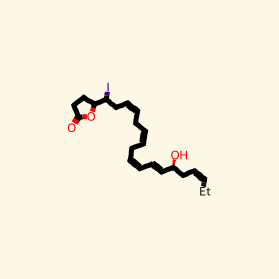 CC/C=C\C[C@H](O)/C=C/C=C\C/C=C\C/C=C\CC(I)C1CCC(=O)O1